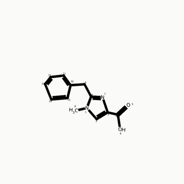 Cn1cc(C(=O)O)nc1Cc1ccccc1